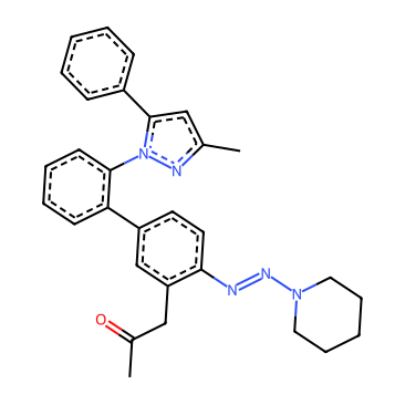 CC(=O)Cc1cc(-c2ccccc2-n2nc(C)cc2-c2ccccc2)ccc1N=NN1CCCCC1